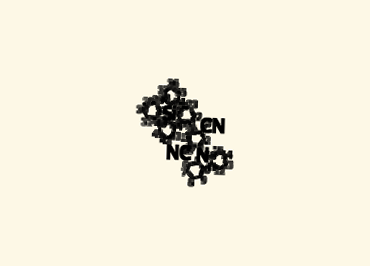 N#Cc1cc(-n2c3ccccc3c3ccccc32)c(C#N)cc1-c1cccc([Si](c2ccccc2)(c2ccccc2)c2ccccc2)c1